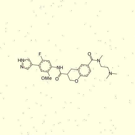 COc1cc(-c2cn[nH]c2)c(F)cc1NC(=O)C1COc2ccc(C(=O)N(C)CCN(C)C)cc2C1